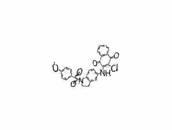 COc1ccc(S(=O)(=O)N2CCc3cc(NC4=C(Cl)C(=O)c5ccccc5C4=O)ccc32)cc1